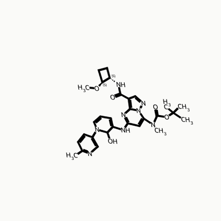 CO[C@H]1CC[C@@H]1NC(=O)c1cnn2c(N(C)C(=O)OC(C)(C)C)cc(NC3=CC=CN(c4ccc(C)nc4)C3O)nc12